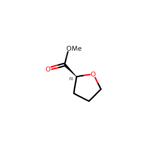 COC(=O)[C@@H]1CCCO1